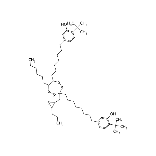 CCCCCCC1SSC(CCCCCCCCc2ccc(C(C)(C)C)c(O)c2)(CC2SC2CCC)SSC1CCCCCCCc1ccc(C(C)(C)C)c(O)c1